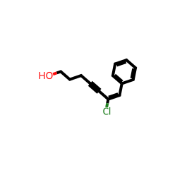 OCCCC#C/C(Cl)=C\c1ccccc1